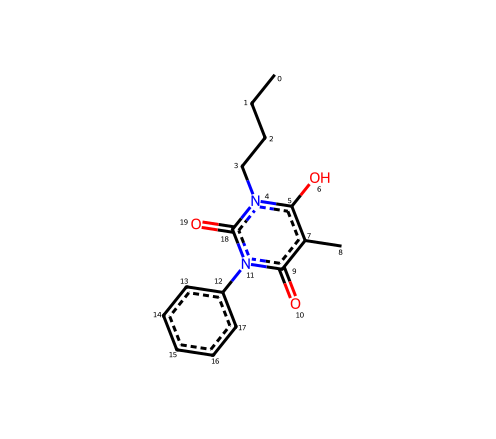 CCCCn1c(O)c(C)c(=O)n(-c2ccccc2)c1=O